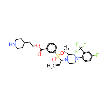 C=CC(N1CCN(c2ccc(F)cc2C(F)(F)F)CC1C)S(=O)(=O)c1cccc(C(=O)OCCC2CCNCC2)c1